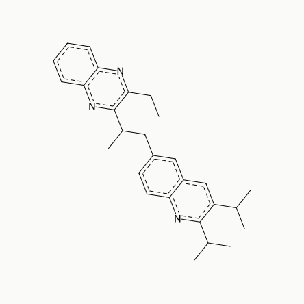 CCc1nc2ccccc2nc1C(C)Cc1ccc2nc(C(C)C)c(C(C)C)cc2c1